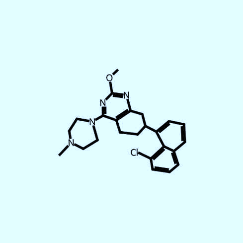 COc1nc2c(c(N3CCN(C)CC3)n1)CCC(c1cccc3cccc(Cl)c13)C2